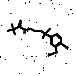 COc1cc(C(C)(C)CCCNC(=O)C(C)(C)C)ccc1Br